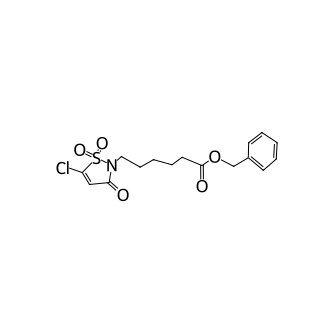 O=C(CCCCCN1C(=O)C=C(Cl)S1(=O)=O)OCc1ccccc1